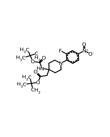 CC(C)(C)OC(=O)CC1(NC(=O)OC(C)(C)C)CCN(c2ccc([N+](=O)[O-])cc2F)CC1